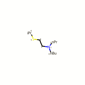 CCCCN(CCC)CCSC(C)C